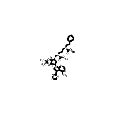 CC(C)(C)OC(=O)N(CCCN(C[C@H]1C[C@@H](n2cc(-c3ncns3)c3c(N)ncnc32)[C@@H]2OC(C)(C)O[C@H]12)C(=O)OC(C)(C)C)CCc1ccccc1